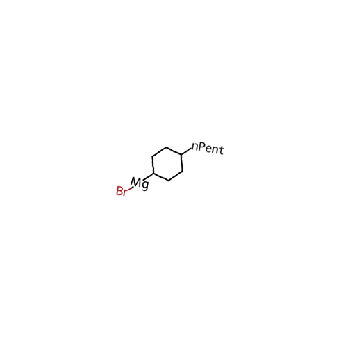 CCCCCC1CC[CH]([Mg][Br])CC1